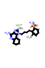 CCCCc1nc2c(N)nc3ccccc3c2n1CCCCc1c([N+](=O)[O-])cccc1S(N)(=O)=O.Cl